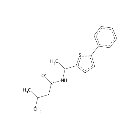 CC(C)C[S+]([O-])NC(C)c1ccc(-c2ccccc2)s1